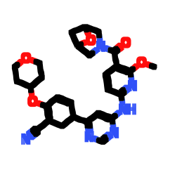 COc1nc(Nc2cc(C3C=CC(OC4CCOCC4)=C(C#N)C3)ncn2)ccc1C(=O)N1CC2CC(C1)O2